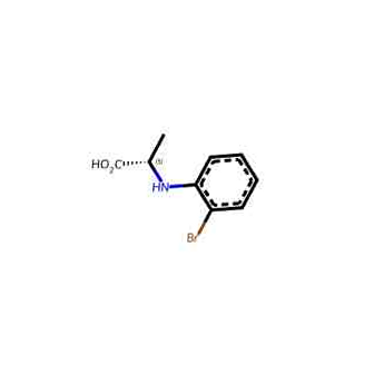 C[C@H](Nc1ccccc1Br)C(=O)O